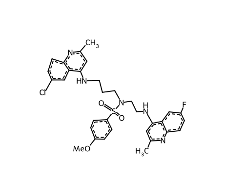 COc1ccc(S(=O)(=O)N(CCCNc2cc(C)nc3ccc(Cl)cc23)CCNc2cc(C)nc3ccc(F)cc23)cc1